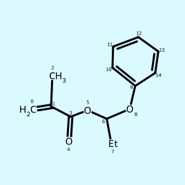 C=C(C)C(=O)OC(CC)Oc1ccccc1